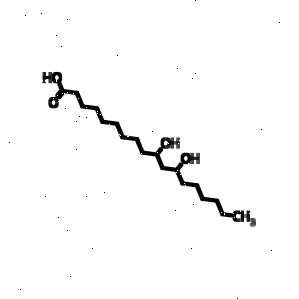 CCCCCCC(O)CC(O)CCCCCCCCC(=O)O